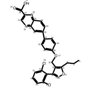 CCCc1onc(-c2c(Cl)cccc2Cl)c1COc1ccc(-c2ccc3nc(C(=O)O)cnc3c2)cc1